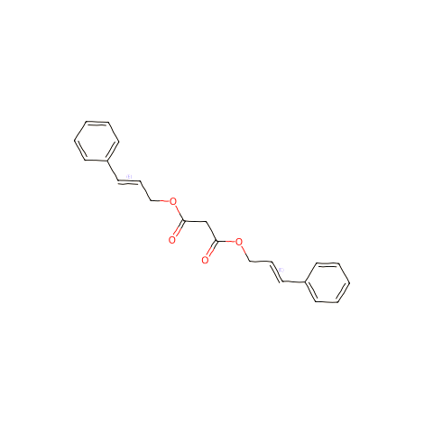 O=C(CC(=O)OC/C=C/c1ccccc1)OC/C=C/c1ccccc1